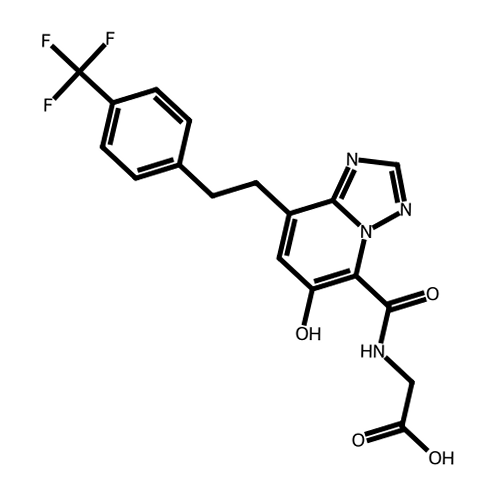 O=C(O)CNC(=O)c1c(O)cc(CCc2ccc(C(F)(F)F)cc2)c2ncnn12